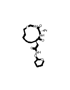 CC(C)[C@@H]1NC(=O)[C@@H](CC(=O)NOC2CCCCO2)CCC/C=C/CCCNC1=O